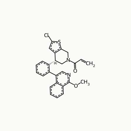 C=CC(=O)N1Cc2sc(Cl)cc2[C@@H](c2ccccc2-c2cnc(OC)c3ccccc23)C1